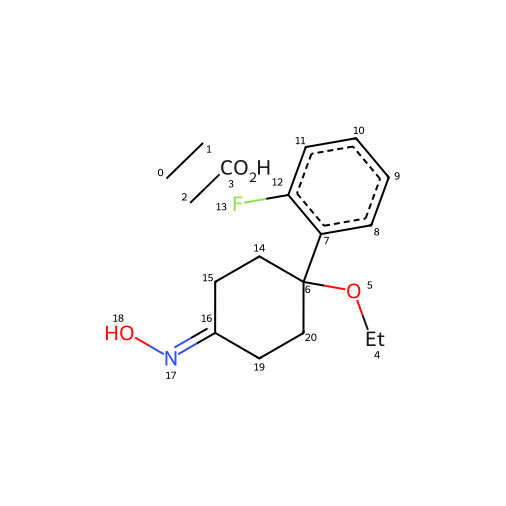 CC.CC(=O)O.CCOC1(c2ccccc2F)CCC(=NO)CC1